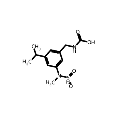 CC(C)c1cc(CNC(=O)O)cc(N(C)[SH](=O)=O)c1